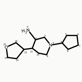 NC1CN(C2CCCC2)CCC1C1CCOC1